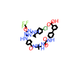 CC(C)(CNC(=O)C(=O)Nc1ccc(-c2cccc(C(=O)O)c2)cc1)CNC(=O)c1ccc(Nc2nc(NC3(c4ccc(Cl)cc4)CC3)nc(OCC(F)(F)F)n2)cc1